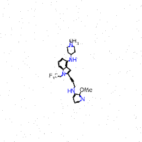 COc1ncccc1NCC#Cc1cc2c(NC3CCN(C)CC3)cccc2n1CC(F)(F)F